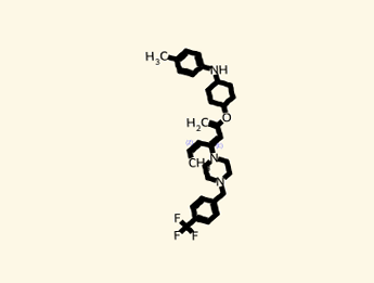 C=C(/C=C(\C=C/C)N1CCN(Cc2ccc(C(F)(F)F)cc2)CC1)OC1CCC(Nc2ccc(C)cc2)CC1